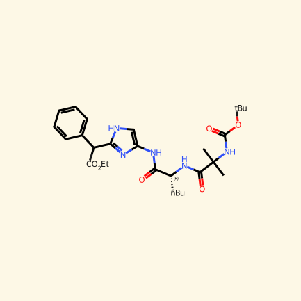 CCCC[C@@H](NC(=O)C(C)(C)NC(=O)OC(C)(C)C)C(=O)Nc1c[nH]c(C(C(=O)OCC)c2ccccc2)n1